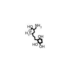 CC(CCCc1c(O)ccc(O)c1O)CC(CN)C(=O)O